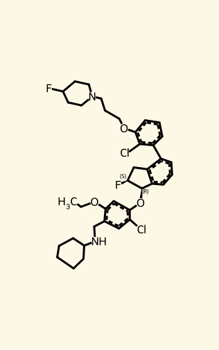 CCOc1cc(O[C@@H]2c3cccc(-c4cccc(OCCCN5CCC(F)CC5)c4Cl)c3C[C@@H]2F)c(Cl)cc1CNC1CCCCC1